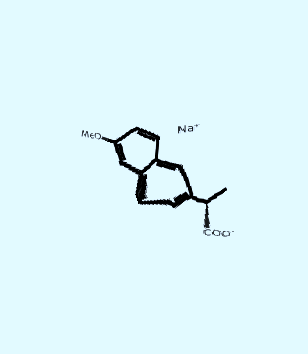 COc1ccc2cc([C@@H](C)C(=O)[O-])ccc2c1.[Na+]